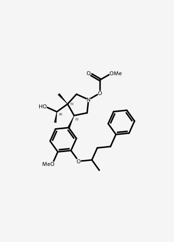 COC(=O)ON1C[C@@H](c2ccc(OC)c(OC(C)CCc3ccccc3)c2)[C@](C)([C@@H](C)O)C1